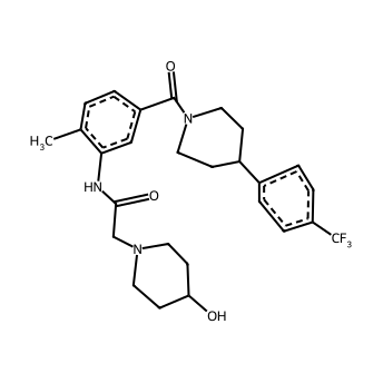 Cc1ccc(C(=O)N2CCC(c3ccc(C(F)(F)F)cc3)CC2)cc1NC(=O)CN1CCC(O)CC1